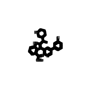 COC(=O)c1cccc2[nH]c(C(C)C3CCCNC3)c(-c3cncc(-c4cccc(Cl)c4)c3)c12